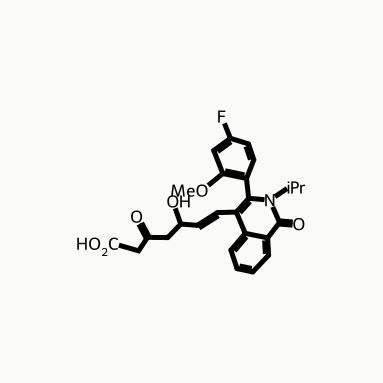 COc1cc(F)ccc1-c1c(C=CC(O)CC(=O)CC(=O)O)c2ccccc2c(=O)n1C(C)C